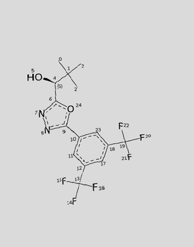 CC(C)(C)[C@H](O)c1nnc(-c2cc(C(F)(F)F)cc(C(F)(F)F)c2)o1